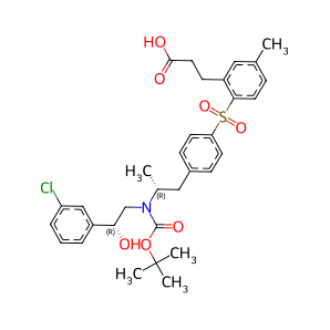 Cc1ccc(S(=O)(=O)c2ccc(C[C@@H](C)N(C[C@H](O)c3cccc(Cl)c3)C(=O)OC(C)(C)C)cc2)c(CCC(=O)O)c1